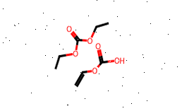 C=COC(=O)O.CCOC(=O)OCC